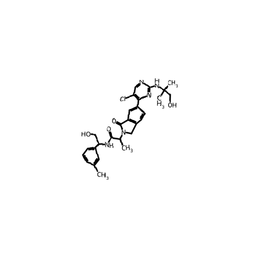 Cc1cccc(C(CO)NC(=O)C(C)N2Cc3ccc(-c4nc(NC(C)(C)CO)ncc4Cl)cc3C2=O)c1